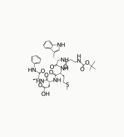 CSCC[C@H](NC(=O)[C@H](Cc1c[nH]c2ccccc12)NC(=O)CCNC(=O)OC(C)(C)C)C(=O)N[C@@H](CC(=O)O)C(=O)N[C@@H](C)C(=O)Nc1ccccc1